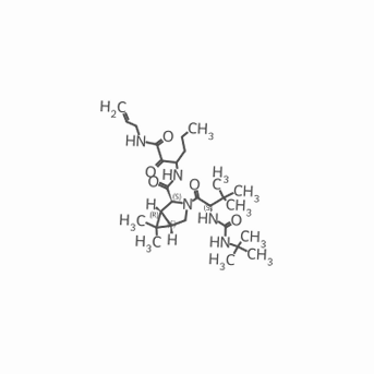 C=CCNC(=O)C(=O)C(CCC)NC(=O)[C@@H]1[C@@H]2[C@H](CN1C(=O)[C@@H](NC(=O)NC(C)(C)C)C(C)(C)C)C2(C)C